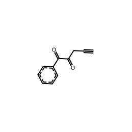 C#CCC(=O)C(=O)c1ccccc1